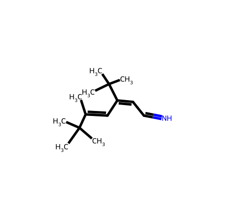 C/C(=C\C(=C/C=N)C(C)(C)C)C(C)(C)C